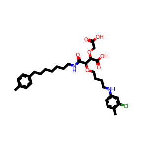 Cc1ccc(CCCCCCCNC(=O)C(OCCCCNc2ccc(C)c(Cl)c2)C(OCC(=O)O)C(=O)O)cc1